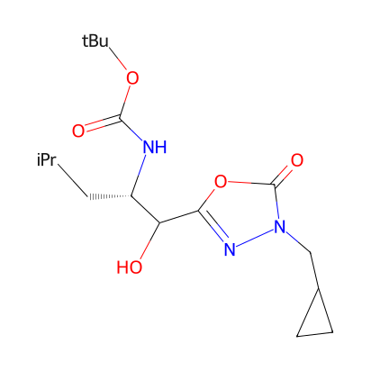 CC(C)C[C@H](NC(=O)OC(C)(C)C)C(O)c1nn(CC2CC2)c(=O)o1